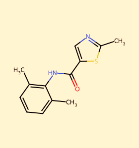 Cc1ncc(C(=O)Nc2c(C)cccc2C)s1